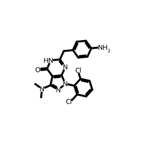 CN(C)c1nn(-c2c(Cl)cccc2Cl)c2nc(Cc3ccc(N)cc3)[nH]c(=O)c12